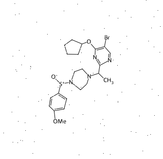 COc1ccc([S+]([O-])N2CCN(C(C)c3ncc(Br)c(OC4CCCC4)n3)CC2)cc1